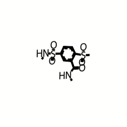 CNC(=O)c1cc(S(=O)(=O)NC)ccc1S(C)(=O)=O